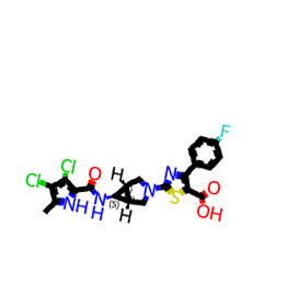 Cc1[nH]c(C(=O)N[C@H]2[C@@H]3CN(c4nc(-c5ccc(F)cc5)c(C(=O)O)s4)C[C@@H]32)c(Cl)c1Cl